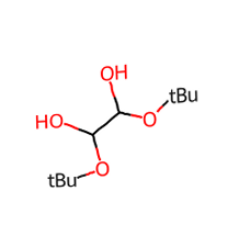 CC(C)(C)OC(O)C(O)OC(C)(C)C